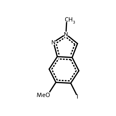 COc1cc2nn(C)cc2cc1I